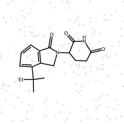 CCC(C)(C)c1cccc2c1CN(C1CCC(=O)NC1=O)C2=O